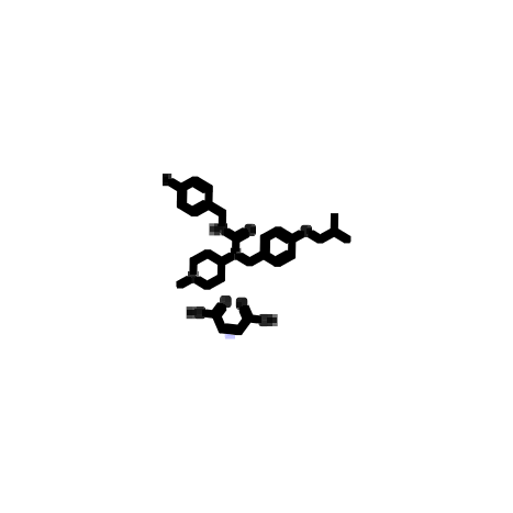 CC(C)COc1ccc(CN(C(=O)NCc2ccc(F)cc2)C2CCN(C)CC2)cc1.O=C(O)/C=C\C(=O)O